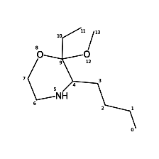 CCCCC1NCCOC1(CC)OC